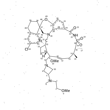 COCCN(C)C1CN(C[C@]2(OC)/C=C/C[C@H](C)[C@@H](C)S(=O)(=O)NC(=O)c3ccc4c(c3)N(C[C@@H]3CC[C@H]32)C[C@@]2(CCCc3cc(Cl)ccc32)CO4)C1